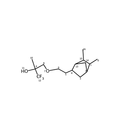 CC1C2CC(CCOCC(C)(O)C(F)(F)F)C(C2)C1C